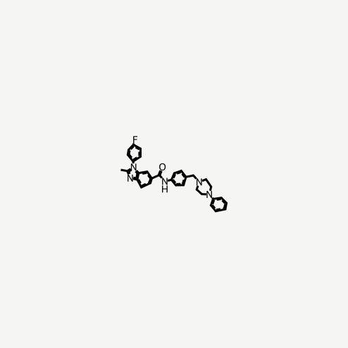 Cc1nc2ccc(C(=O)Nc3ccc(CN4CCN(c5ccccc5)CC4)cc3)cc2n1-c1ccc(F)cc1